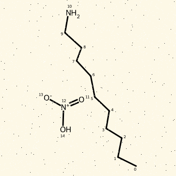 CCCCCCCCCCN.O=[N+]([O-])O